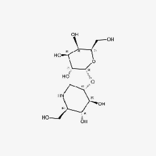 OC[C@H]1NC[C@H](O[C@H]2O[C@H](CO)[C@H](O)[C@H](O)[C@H]2O)[C@@H](O)[C@@H]1O